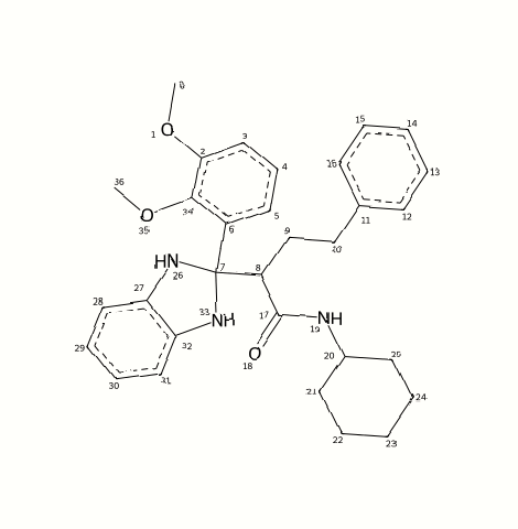 COc1cccc(C2(C(CCc3ccccc3)C(=O)NC3CCCCC3)Nc3ccccc3N2)c1OC